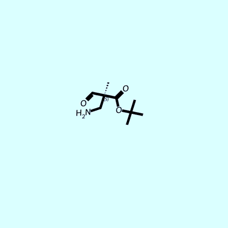 CC(C)(C)OC(=O)[C@](C)(C=O)CN